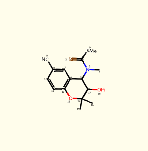 CSC(=S)N(C)C1c2cc(C#N)ccc2OC(C)(C)C1O